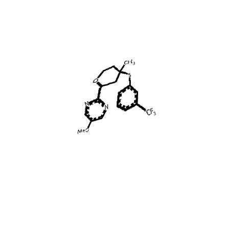 COc1cnc(C2CC(C)(Sc3cccc(C(F)(F)F)c3)CCO2)nc1